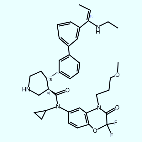 C/C=C(/NCC)c1cccc(-c2cccc([C@H]3CCNC[C@@H]3C(=O)N(c3ccc4c(c3)N(CCCOC)C(=O)C(F)(F)O4)C3CC3)c2)c1